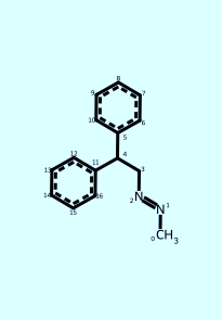 CN=NCC(c1ccccc1)c1ccccc1